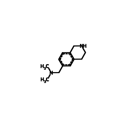 CN(C)Cc1ccc2c(c1)CCNC2